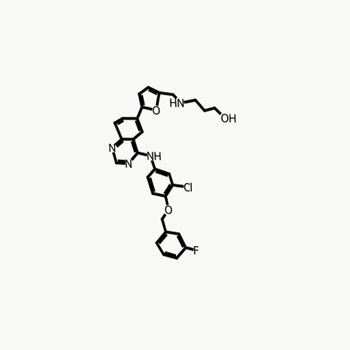 OCCCNCc1ccc(-c2ccc3ncnc(Nc4ccc(OCc5cccc(F)c5)c(Cl)c4)c3c2)o1